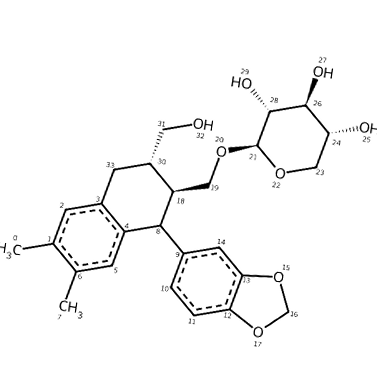 Cc1cc2c(cc1C)C(c1ccc3c(c1)OCO3)[C@H](CO[C@@H]1OC[C@@H](O)[C@H](O)[C@H]1O)[C@@H](CO)C2